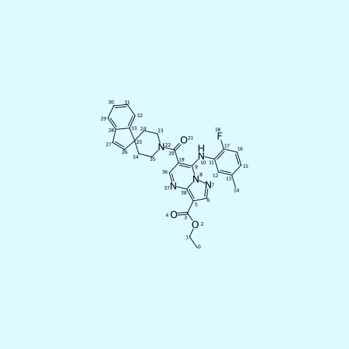 CCOC(=O)c1cnn2c(Nc3cc(C)ccc3F)c(C(=O)N3CCC4(C=Cc5ccccc54)CC3)cnc12